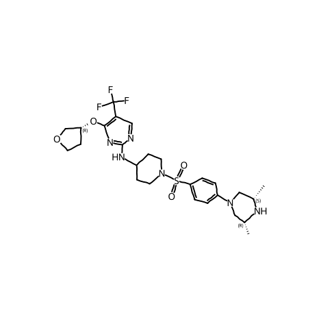 C[C@@H]1CN(c2ccc(S(=O)(=O)N3CCC(Nc4ncc(C(F)(F)F)c(O[C@@H]5CCOC5)n4)CC3)cc2)C[C@H](C)N1